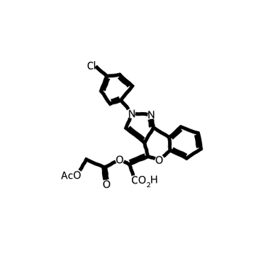 CC(=O)OCC(=O)OC(C(=O)O)=C1Oc2ccccc2-c2nn(-c3ccc(Cl)cc3)cc21